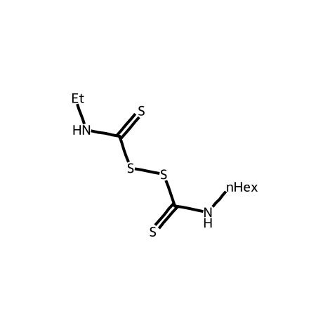 CCCCCCNC(=S)SSC(=S)NCC